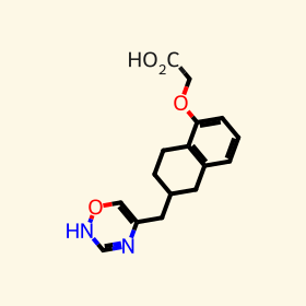 O=C(O)COc1cccc2c1CCC(CC1=CONC=N1)C2